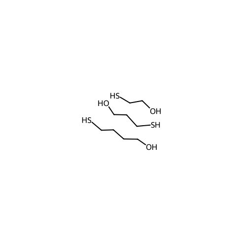 OCCCCS.OCCCS.OCCS